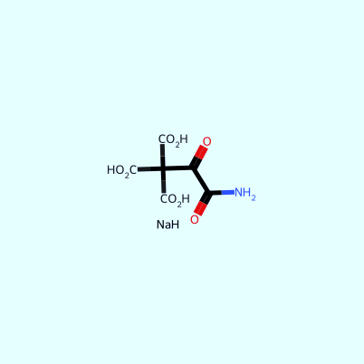 NC(=O)C(=O)C(C(=O)O)(C(=O)O)C(=O)O.[NaH]